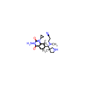 Cc1c(C(N(C)CCC#N)C2(C)CCNC2)ccc2c(=O)n(N)c(=O)n(C3CC3)c12